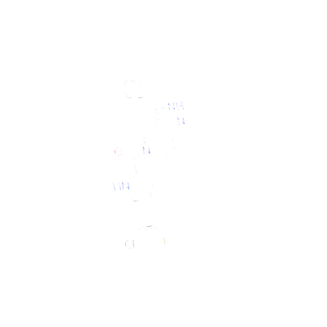 O=C(c1cc2cc(F)c(Cl)cc2[nH]1)N1CCc2n[nH]c(C3CCC3)c2C1